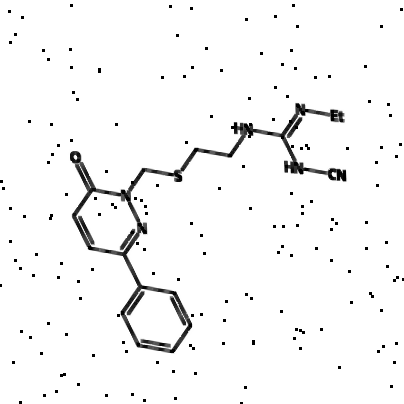 CC/N=C(\NC#N)NCCSCn1nc(-c2ccccc2)ccc1=O